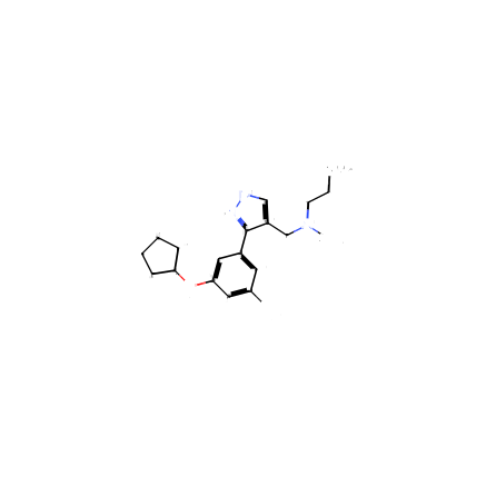 CNCCN(C)Cc1c[nH]nc1-c1cc(OC2CCCC2)cc(C(F)(F)F)c1